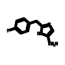 O=C(O)c1cnc(Cc2ccc(F)cc2)[nH]1